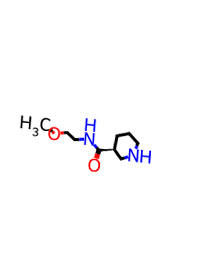 COCCNC(=O)[C@H]1CCCNC1